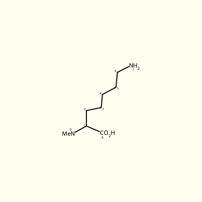 CNC(CCCCCN)C(=O)O